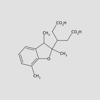 Cc1cccc2c1OC(C)(C(CC(=O)O)CC(=O)O)C2C